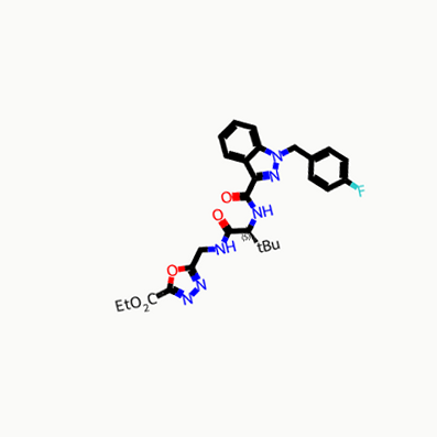 CCOC(=O)c1nnc(CNC(=O)[C@@H](NC(=O)c2nn(Cc3ccc(F)cc3)c3ccccc23)C(C)(C)C)o1